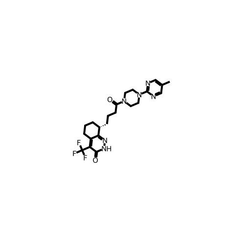 Cc1cnc(N2CCN(C(=O)CCC[C@H]3CCCc4c3n[nH]c(=O)c4C(F)(F)F)CC2)nc1